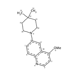 COc1ccnc2ccc(N3CCC(C)(C)CC3)cc12